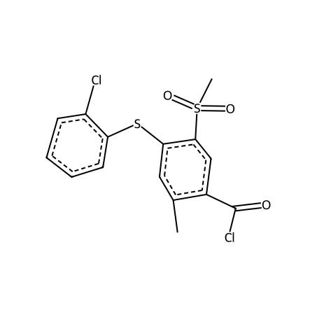 Cc1cc(Sc2ccccc2Cl)c(S(C)(=O)=O)cc1C(=O)Cl